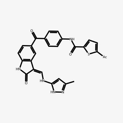 CC(=O)c1ccc(C(=O)Nc2ccc(C(=O)c3ccc4c(c3)/C(=C/Nc3cc(C)n[nH]3)C(=O)N4)cc2)s1